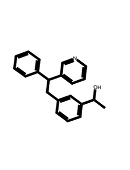 CC(O)c1cccc(CC(c2ccccc2)c2cccnc2)c1